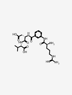 CC(C)[C@H](NC(=O)[C@H](CC(=O)O)NC(=O)c1cccc(NC(=O)[C@@H](N)CCCNC(=N)N)c1)C(=O)O